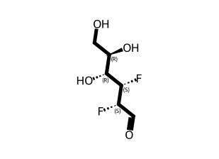 O=C[C@H](F)[C@@H](F)[C@H](O)[C@H](O)CO